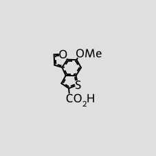 COc1cc2sc(C(=O)O)cc2c2ccoc12